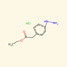 CCOC(=O)Cc1ccc(NN)cc1.Cl